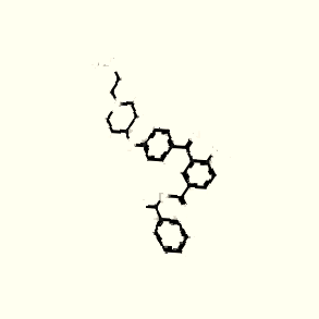 CCC(NC(=O)c1ccc(N)c(C(=N)c2ccc(OC3CCN(CCOC)CC3)cc2)c1)c1ccccc1